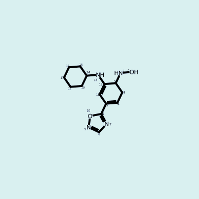 ONC1CC=C(c2ncno2)C=C1NC1CCCCC1